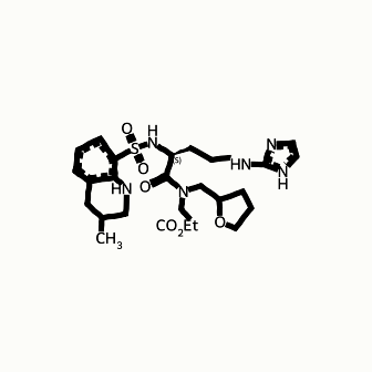 CCOC(=O)CN(CC1CCCO1)C(=O)[C@H](CCCNc1ncc[nH]1)NS(=O)(=O)c1cccc2c1NCC(C)C2